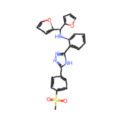 CS(=O)(=O)c1ccc(-c2nnc(-c3ccccc3NC(c3ccco3)c3ccco3)[nH]2)cc1